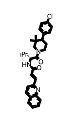 CC(C)[C@@H](NC(=O)/C=C/c1ccc2ccccc2n1)C(=O)N1CCC(c2ccc(Cl)cc2)C(C)(C)C1